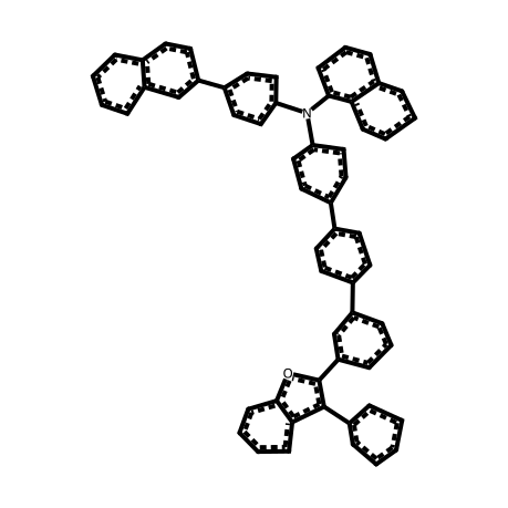 c1ccc(-c2c(-c3cccc(-c4ccc(-c5ccc(N(c6ccc(-c7ccc8ccccc8c7)cc6)c6cccc7ccccc67)cc5)cc4)c3)oc3ccccc23)cc1